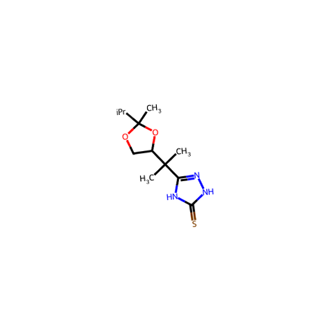 CC(C)C1(C)OCC(C(C)(C)c2n[nH]c(=S)[nH]2)O1